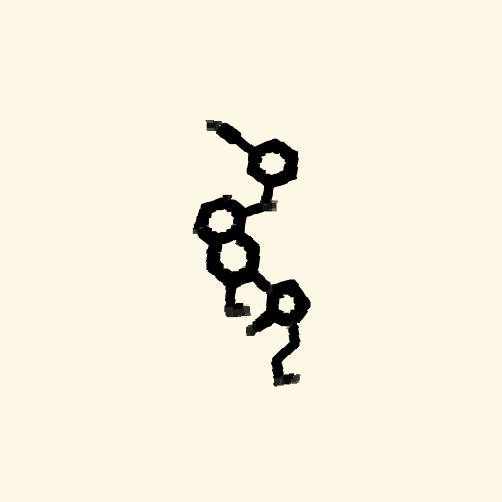 C#Cc1cccc(Nc2ncnc3cc(OC)c(-n4ccn(CCOC)c4=O)cc23)c1